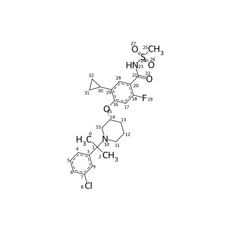 CC(C)(c1cccc(Cl)c1)N1CCC[C@@H](Oc2cc(F)c(C(=O)NS(C)(=O)=O)cc2C2CC2)C1